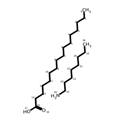 CCCCCCCCCCCCCCCC(=O)O.CCCCCCCCN